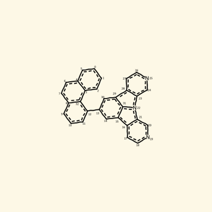 c1ccc2c(c1)ccc1cccc(-c3cc4c5ccncc5n5c6cnccc6c(c3)c45)c12